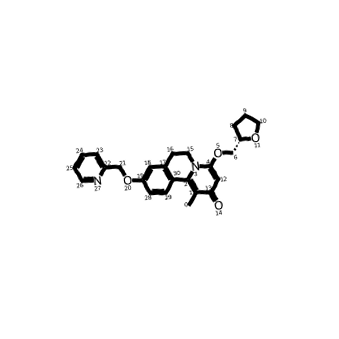 Cc1c2n(c(OC[C@@H]3CCCO3)cc1=O)CCc1cc(OCc3ccccn3)ccc1-2